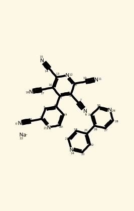 N#Cc1cc(-c2c(C#N)c(C#N)nc(C#N)c2C#N)ccn1.[Na].c1cc(-c2ccncc2)ccn1